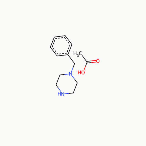 CC(=O)O.c1ccc(CN2CCNCC2)cc1